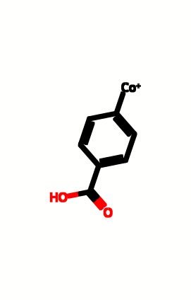 O=C(O)c1cc[c]([Co+])cc1